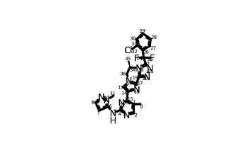 Cc1cnc(Nc2ccnn2C)nc1-c1cn2c(n1)-c1nnc(C(F)(F)c3ccccc3Cl)n1[C@H](C)C2